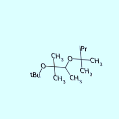 CC(C)C(C)(C)OC(C)C(C)(C)OC(C)(C)C